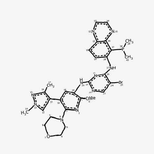 COc1nc(N2CCOCC2)c(-c2cn(C)nc2C)cc1Nc1ncc(Br)c(Nc2ccc3nccnc3c2P(C)C)n1